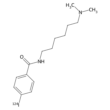 CN(C)CCCCCCNC(=O)c1ccc([124I])cc1